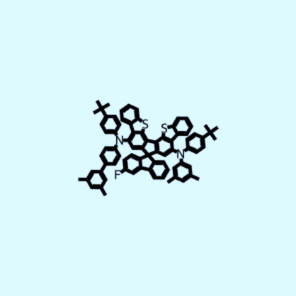 Cc1cc(C)cc(-c2ccc(N(c3ccc(C(C)(C)C)cc3)c3cc4c(c5sc6ccccc6c35)-c3c(cc(N(c5ccc(C(C)(C)C)cc5)c5cc(C)cc(C)c5)c5c3sc3ccccc35)C43c4ccccc4-c4cc(F)ccc43)cc2)c1